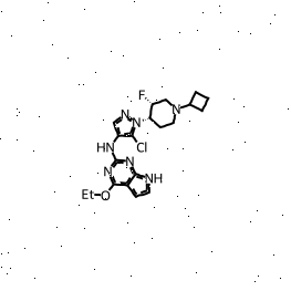 CCOc1nc(Nc2cnn([C@H]3CCN(C4CCC4)C[C@H]3F)c2Cl)nc2[nH]ccc12